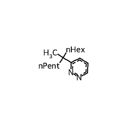 CCCCCCC(C)(CCCCC)c1cccnn1